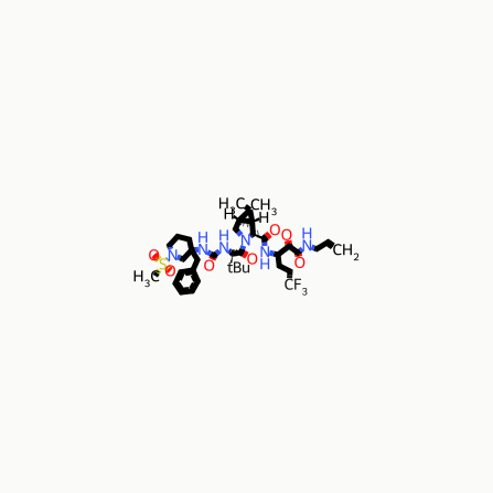 C=CCNC(=O)C(=O)C(CCC(F)(F)F)NC(=O)[C@@H]1[C@@H]2[C@H](CN1C(=O)[C@@H](NC(=O)NC1(Cc3ccccc3)CCCN(S(C)(=O)=O)C1)C(C)(C)C)C2(C)C